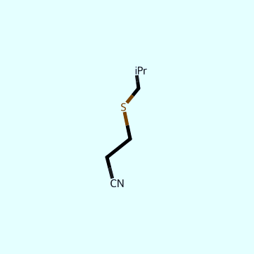 CC(C)CSCCC#N